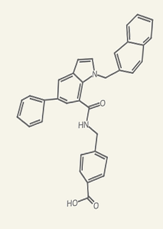 O=C(O)c1ccc(CNC(=O)c2cc(-c3ccccc3)cc3ccn(Cc4ccc5ccccc5c4)c23)cc1